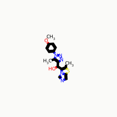 COc1ccc(-n2nnc(C(O)c3c(C)sc4cncn34)c2C)cc1